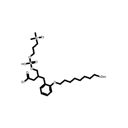 CCCCCCCCCCCCCCCCCCOc1ccccc1CC(COP(=O)(O)OCCC[N+](C)(C)CC)CC(=O)CC